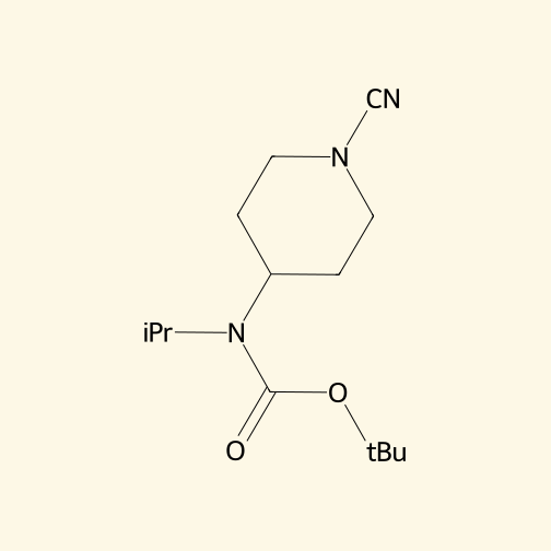 CC(C)N(C(=O)OC(C)(C)C)C1CCN(C#N)CC1